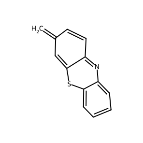 C=c1ccc2c(c1)Sc1ccccc1N=2